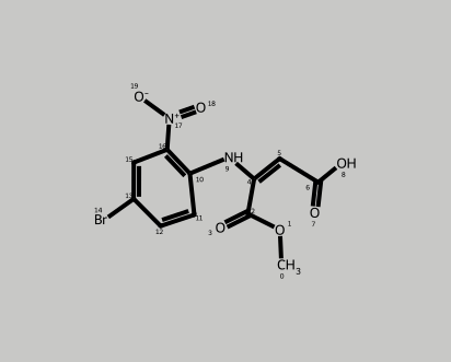 COC(=O)C(=CC(=O)O)Nc1ccc(Br)cc1[N+](=O)[O-]